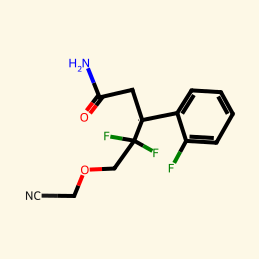 N#CCOCC(F)(F)[C](CC(N)=O)c1ccccc1F